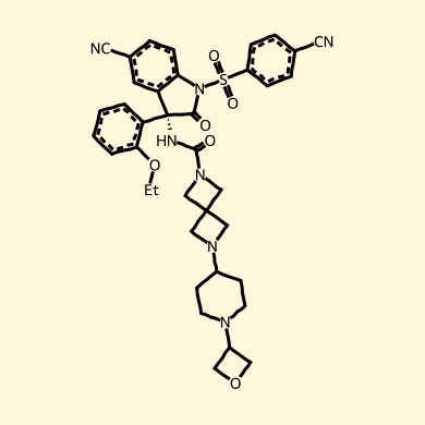 CCOc1ccccc1[C@]1(NC(=O)N2CC3(C2)CN(C2CCN(C4COC4)CC2)C3)C(=O)N(S(=O)(=O)c2ccc(C#N)cc2)c2ccc(C#N)cc21